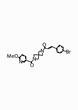 COc1ccc(C(=O)N2CC3(CN(C(=O)/C=C/c4ccc(Br)cc4)C3)C2)cn1